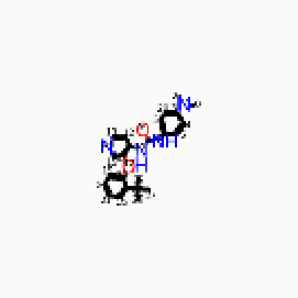 CN(C)c1ccc(NC(=O)Nc2ccncc2Oc2ccccc2C(C)(C)C)cc1